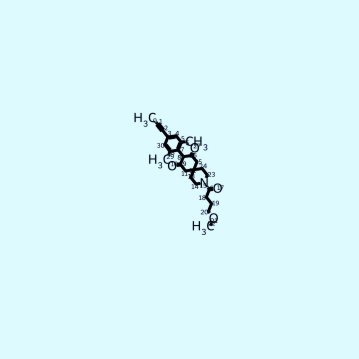 CC#Cc1cc(C)c(C2C(=O)CC3(CCN(C(=O)CCCOC)CC3)CC2=O)c(C)c1